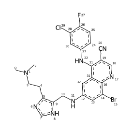 CN(C)CCc1nc[nH]c1CNc1cc(Br)c2ncc(C#N)c(Nc3ccc(F)c(Cl)c3)c2c1